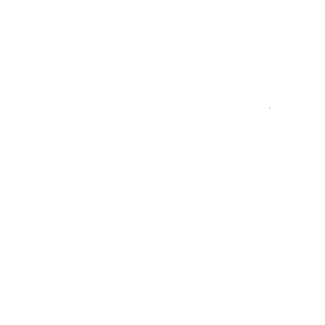 CCCCC(CC)COC(=O)CCCCCCCC(CCC(=O)O)C(C)C